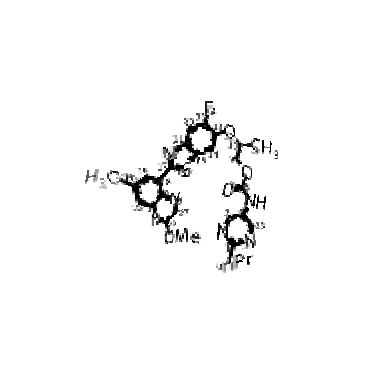 CCCc1ncc(NC(=O)OC[C@H](C)Oc2cc3sc(-c4cc(C)cc5nc(OC)cnc45)nc3cc2F)cn1